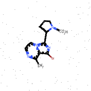 Cc1nccn2c(C3CCCN3C(=O)O)nc(Br)c12